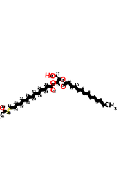 CCCCCCCCCCCCCC(=O)O[C@@H](CO)COC(=O)CCCCCCCCCCCCCSC(C)=O